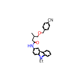 CCn1c2ccccc2c2cc(NC(=O)CC(C)COCc3ccc(C#N)cc3)ccc21